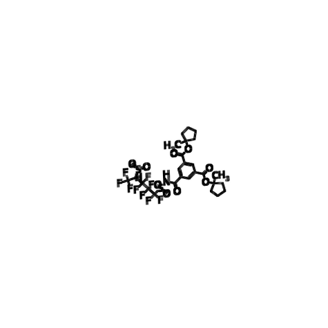 CC1(OC(=O)c2cc(C(=O)NS(=O)(=O)C(F)(F)C(F)(F)C(F)(F)[C@H]([SH](=O)=O)C(F)(F)F)cc(C(=O)OC3(C)CCCC3)c2)CCCC1